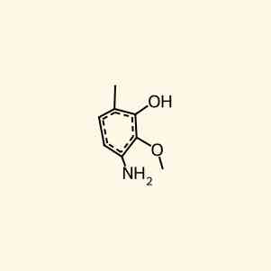 COc1c(N)ccc(C)c1O